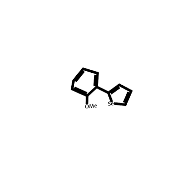 COc1ccccc1-c1ccc[se]1